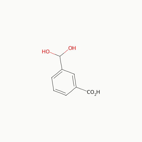 O=C(O)c1cccc(C(O)O)c1